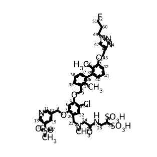 Cc1c(COc2cc(OCc3cncc(S(C)(=O)=O)c3)c(CN(C)CC(=O)NCC(S(=O)(=O)O)S(=O)(=O)O)cc2Cl)cccc1-c1cccc(OCc2cn(CCCF)nn2)c1C